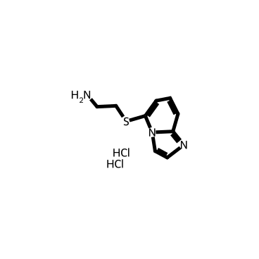 Cl.Cl.NCCSc1cccc2nccn12